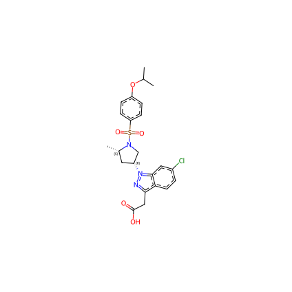 CC(C)Oc1ccc(S(=O)(=O)N2C[C@H](n3nc(CC(=O)O)c4ccc(Cl)cc43)C[C@@H]2C)cc1